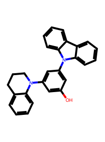 Oc1cc(N2CCCc3ccccc32)cc(-n2c3ccccc3c3ccccc32)c1